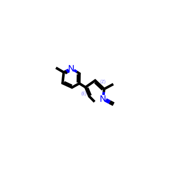 C=N/C(C)=C\C(=C/C)c1ccc(C)nc1